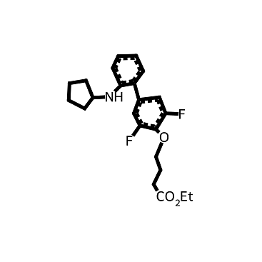 CCOC(=O)CCCOc1c(F)cc(-c2ccccc2NC2CCCC2)cc1F